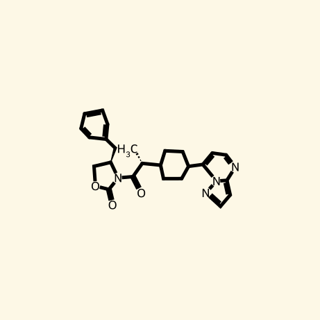 C[C@@H](C(=O)N1C(=O)OC[C@H]1Cc1ccccc1)C1CCC(c2ccnc3ccnn23)CC1